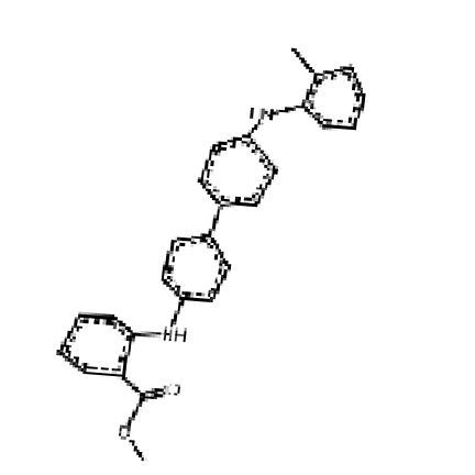 COC(=O)c1ccccc1Nc1ccc(-c2ccc(Nc3ccccc3C)cc2)cc1